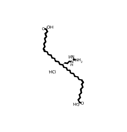 Cl.N=C(N)NCCC[C@@H](CCCCCCCC/C=C\CCCCCCCC(=O)O)CCCCCCCCC/C=C\CCCCCCCC(=O)O